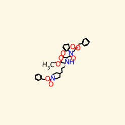 CCOC(=O)[C@@H](CCCC1CCN(C(=O)OCc2ccccc2)CC1)N[C@H]1COc2ccccc2N(CC(=O)OCc2ccccc2)C1=O